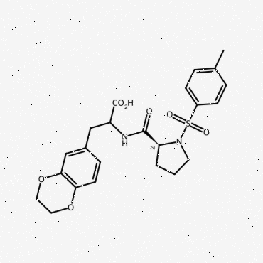 Cc1ccc(S(=O)(=O)N2CCC[C@H]2C(=O)NC(Cc2ccc3c(c2)OCCO3)C(=O)O)cc1